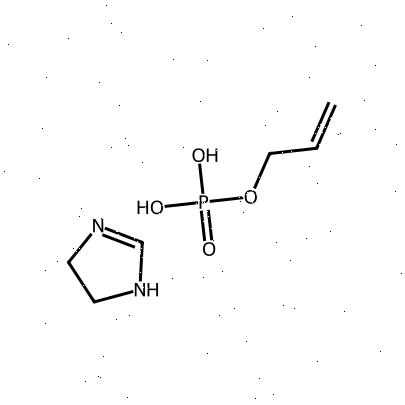 C1=NCCN1.C=CCOP(=O)(O)O